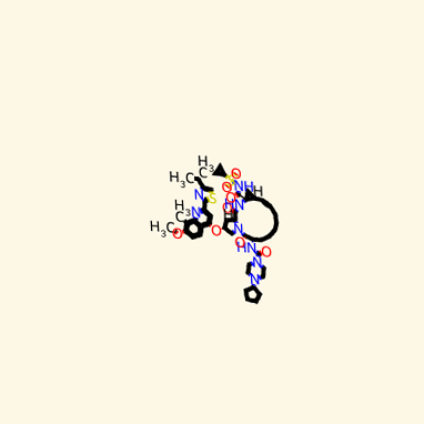 COc1ccc2c(O[C@@H]3C[C@H]4C(=O)N[C@]5(C(=O)NS(=O)(=O)C6CC6)C[C@H]5C=CCCCCC[C@H](NC(=O)N5CCN(C6CCCC6)CC5)C(=O)N4C3)cc(-c3nc(C(C)C)cs3)nc2c1C